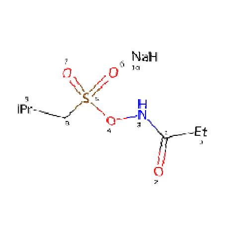 CCC(=O)NOS(=O)(=O)CC(C)C.[NaH]